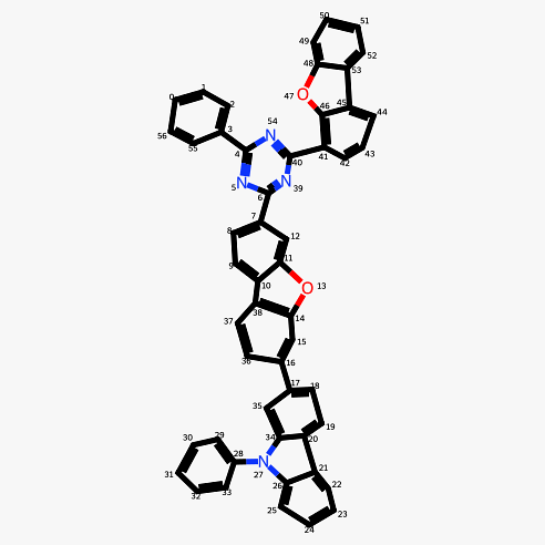 c1ccc(-c2nc(-c3ccc4c(c3)oc3cc(-c5ccc6c7ccccc7n(-c7ccccc7)c6c5)ccc34)nc(-c3cccc4c3oc3ccccc34)n2)cc1